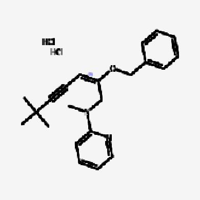 CN(C/C(=C\C#CC(C)(C)C)OCc1ccccc1)c1ccccn1.Cl.Cl